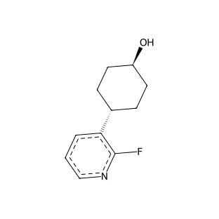 O[C@H]1CC[C@H](c2cccnc2F)CC1